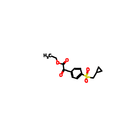 CCOC(=O)C(=O)c1ccc(S(=O)(=O)CC2CC2)cc1